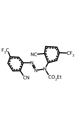 CCOC(=O)N(N=Nc1cc(C(F)(F)F)ccc1C#N)c1cc(C(F)(F)F)ccc1C#N